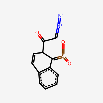 [N-]=[N+]=CC(=O)C1C=Cc2ccccc2C1=S(=O)=O